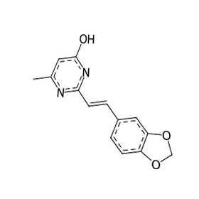 Cc1cc(O)nc(/C=C/c2ccc3c(c2)OCO3)n1